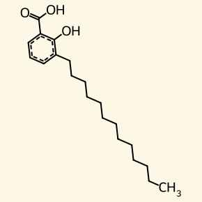 CCCCCCCCCCCCCc1cccc(C(=O)O)c1O